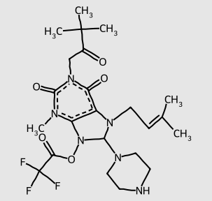 CC(C)=CCN1c2c(n(C)c(=O)n(CC(=O)C(C)(C)C)c2=O)N(OC(=O)C(F)(F)F)C1N1CCNCC1